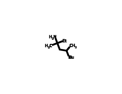 CCC(C)C(C)CC(C)(N)CC